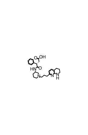 O=C(O)C[C@H](C(=O)N[C@@H]1CCCN(CCCc2ccc3c(n2)NCCC3)C1)c1ccccc1